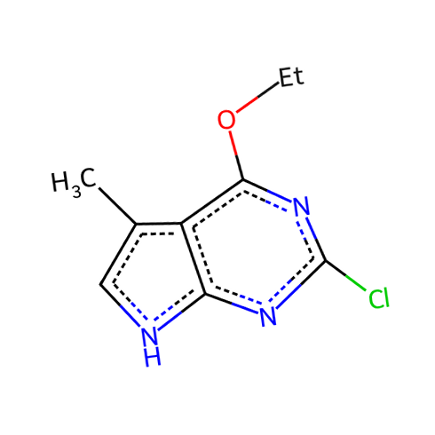 CCOc1nc(Cl)nc2[nH]cc(C)c12